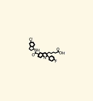 O=C(O)CCCCc1cc2cc(C(=O)N[C@@H]3CCc4cc(Cl)ccc43)ccc2nc1-c1ccc(F)cc1